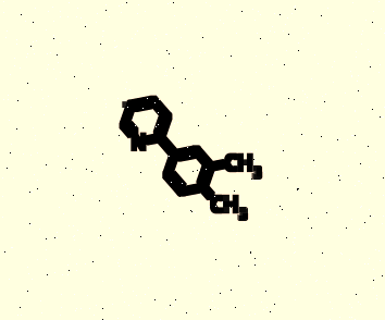 Cc1ccc(-c2cc[c]cn2)cc1C